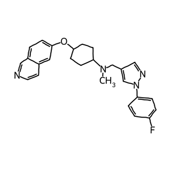 CN(Cc1cnn(-c2ccc(F)cc2)c1)C1CCC(Oc2ccc3cnccc3c2)CC1